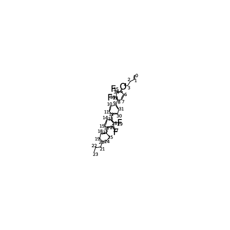 C=CCCOc1ccc(-c2ccc(-c3ccc(C4=CCC(CCC)CC4)c(F)c3F)cc2)c(F)c1F